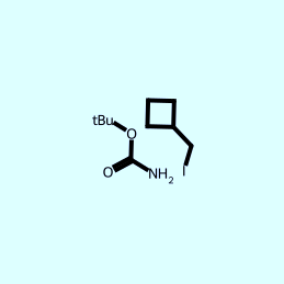 CC(C)(C)OC(N)=O.ICC1CCC1